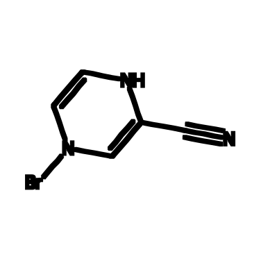 N#CC1=CN(Br)C=CN1